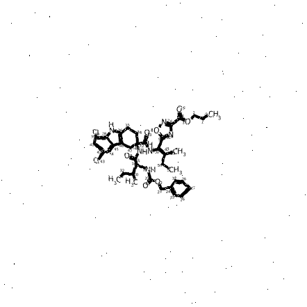 CCCOC(=O)c1noc(C(NC(=O)[C@@]2(NC(=O)C(NC(=O)OCc3ccccc3)C(C)CC)CCc3[nH]c4c(Cl)cc(Cl)cc4c3C2)C(C)CC)n1